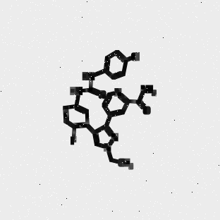 CCn1cc(-c2cc(NC(=O)Nc3ccc(Cl)cc3)ccc2F)c(-c2ccnc(C(N)=O)c2)n1